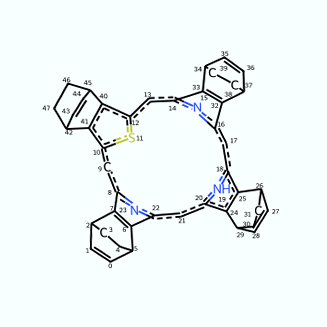 C1=CC2CCC1C1=C2c2cc3sc(cc4nc(cc5[nH]c(cc1n2)c1c5C2C=CC1CC2)C1=C4C2C=CC1CC2)c1c3C2C=CC1CC2